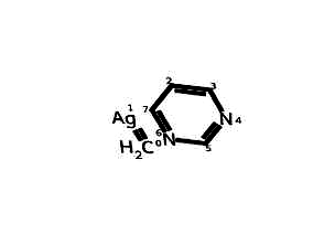 [CH2]=[Ag].c1cncnc1